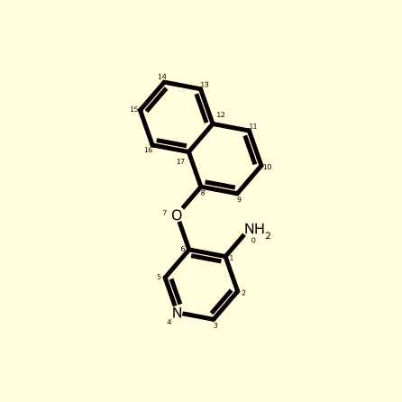 Nc1ccncc1Oc1cccc2ccccc12